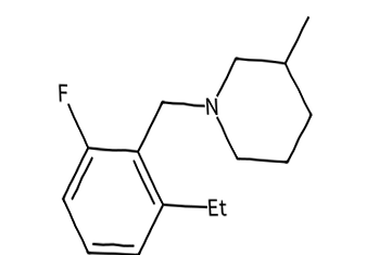 CCc1cccc(F)c1CN1CCCC(C)C1